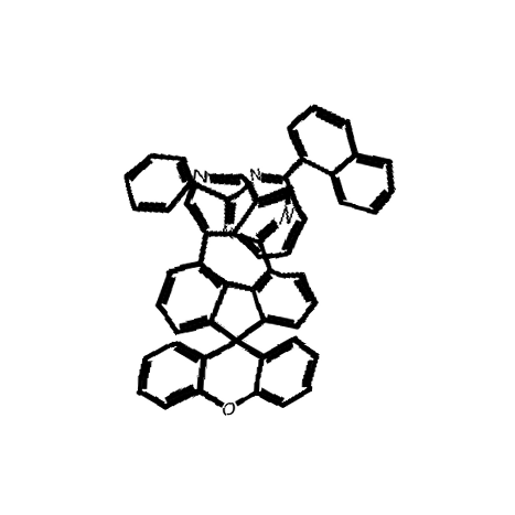 c1ccc(-c2nc(-c3cccc4c3-c3c(-c5cncc6ccccc56)cccc3C43c4ccccc4Oc4ccccc43)nc(-c3cccc4ccccc34)n2)cc1